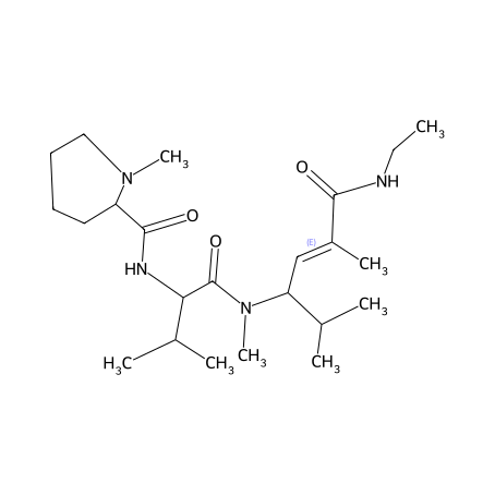 CCNC(=O)/C(C)=C/C(C(C)C)N(C)C(=O)C(NC(=O)C1CCCCN1C)C(C)C